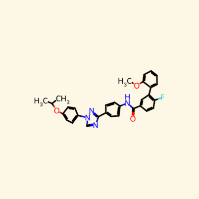 COc1ccccc1-c1cc(C(=O)Nc2ccc(-c3ncn(-c4ccc(OC(C)C)cc4)n3)cc2)ccc1F